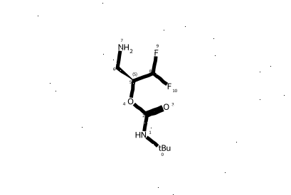 CC(C)(C)NC(=O)O[C@@H](CN)C(F)F